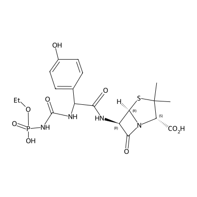 CCOP(=O)(O)NC(=O)NC(C(=O)N[C@@H]1C(=O)N2[C@@H]1SC(C)(C)[C@@H]2C(=O)O)c1ccc(O)cc1